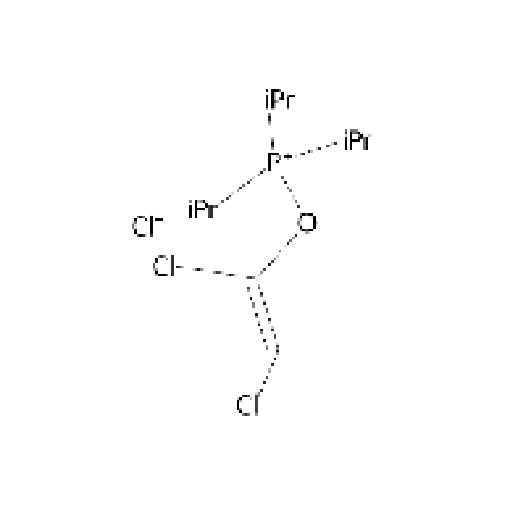 CC(C)[P+](O/C(Cl)=C/Cl)(C(C)C)C(C)C.[Cl-]